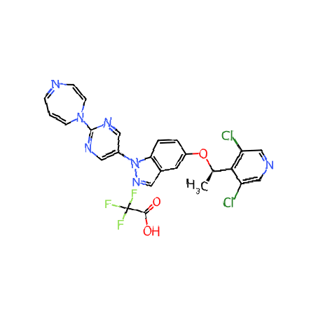 C[C@@H](Oc1ccc2c(cnn2-c2cnc(N3C=CC=NC=C3)nc2)c1)c1c(Cl)cncc1Cl.O=C(O)C(F)(F)F